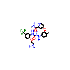 CNCCOc1ccc(C(F)(F)F)cc1NC(=O)NNc1ccc(C)c(Oc2ccnc(C(=O)NC)c2)c1